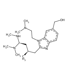 CN[C@@H](C[C@H](C)Cc1nc2ccc(CO)cc2n1CCN(C)C)N(C)C